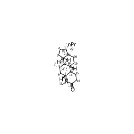 CCC[C@H]1CC[C@H]2[C@@H]3[C@@H](C)C[C@H]4N(C)C(=O)CC[C@]4(C)[C@H]3CC[C@]12C